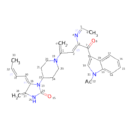 C=C(/C=C(\N=C/C)C(=O)c1cn(C(C)=O)c2ccccc12)N1CCC(n2c(=O)[nH]c(=C)/c2=C\C=C/C)CC1